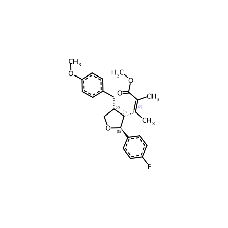 COC(=O)/C(C)=C(/C)[C@H]1[C@@H](Cc2ccc(OC)cc2)CO[C@@H]1c1ccc(F)cc1